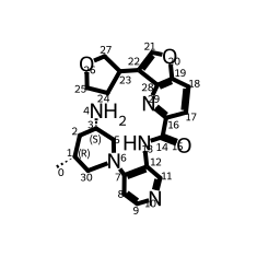 C[C@@H]1C[C@H](N)CN(c2ccncc2NC(=O)c2ccc3occ(C4CCOC4)c3n2)C1